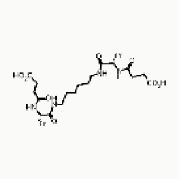 CC(C)[C@H](NC(=O)CCC(=O)O)C(=O)NCCCCCCNC(=O)[C@@H](NC(=O)CCC(=O)O)C(C)C